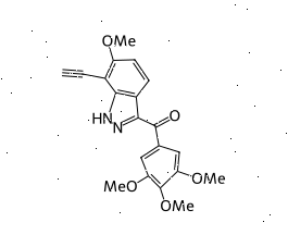 C#Cc1c(OC)ccc2c(C(=O)c3cc(OC)c(OC)c(OC)c3)n[nH]c12